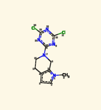 Cn1[c]cc2c1CN(c1nc(Cl)nc(Cl)n1)CC2